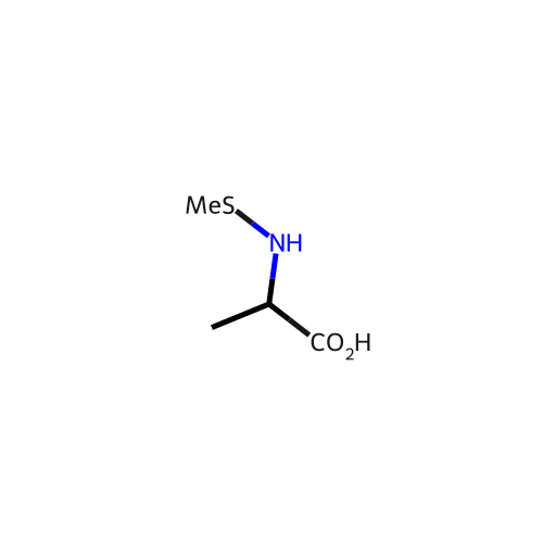 CSNC(C)C(=O)O